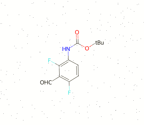 CC(C)(C)OC(=O)Nc1ccc(F)c(C=O)c1F